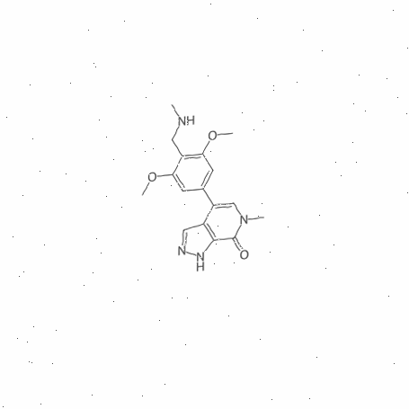 CNCc1c(OC)cc(-c2cn(C)c(=O)c3[nH]ncc23)cc1OC